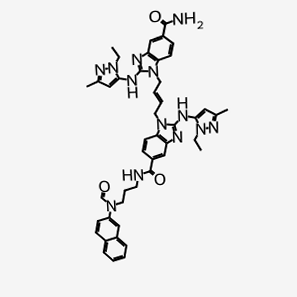 CCn1nc(C)cc1Nc1nc2cc(C(N)=O)ccc2n1C/C=C/Cn1c(Nc2cc(C)nn2CC)nc2cc(C(=O)NCCCN(C=O)c3ccc4ccccc4c3)ccc21